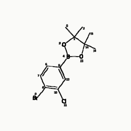 CC1(C)OB(c2ccc(Br)c(Cl)c2)OC1(C)C